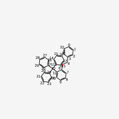 c1ccc(CCc2ccccc2C(c2ccccc2)(c2ccccc2)c2ccccc2)cc1